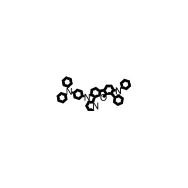 c1ccc(N(c2ccccc2)c2ccc(-n3c4cccnc4c4c5oc6c(ccc7c6c6ccccc6n7-c6ccccc6)c5ccc43)cc2)cc1